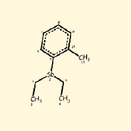 C[CH2][Sb]([CH2]C)[c]1ccccc1C